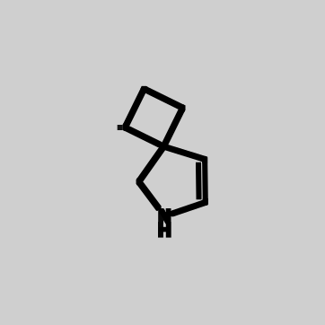 [CH]1CCC12C=CNC2